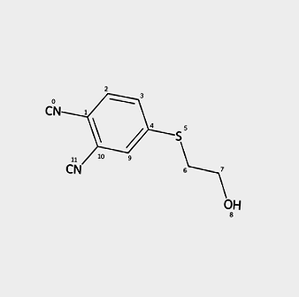 [C-]#[N+]c1ccc(SCCO)cc1[N+]#[C-]